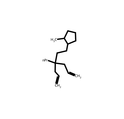 C=CCC(CC=C)(CCC)CCC1CCCC1C